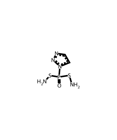 NSP(=O)(SN)n1ccnn1